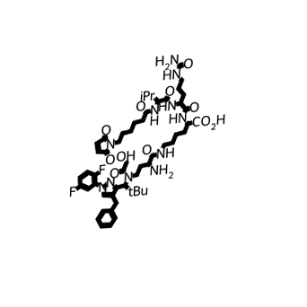 CC(C)C(NC(=O)CCCCCN1C(=O)C=CC1=O)C(=O)NC(CCCNC(N)=O)C(=O)NC(CCCCNC(=O)C(N)CCN(C(=O)CO)C(c1nn(-c2cc(F)ccc2F)cc1Cc1ccccc1)C(C)(C)C)C(=O)O